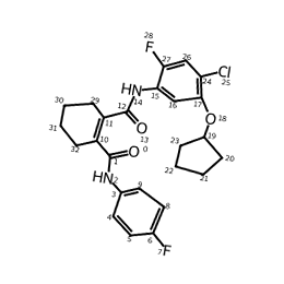 O=C(Nc1ccc(F)cc1)C1=C(C(=O)Nc2cc(OC3CCCC3)c(Cl)cc2F)CCCC1